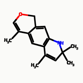 CC1=COCc2cc3c(cc21)C(C)=CC(C)(C)N3